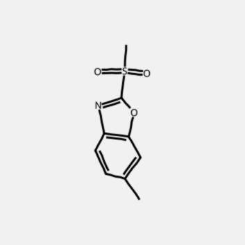 Cc1ccc2nc(S(C)(=O)=O)oc2c1